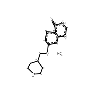 Cl.O=c1[nH]cnc2cc(OCC3CCOCC3)ccc12